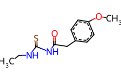 CCNC(=S)NC(=O)Cc1ccc(OC)cc1